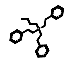 CCCC[B-](CCc1ccccc1)(CCc1ccccc1)CCc1ccccc1